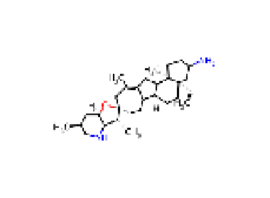 C=C[C@]12CC[C@H]3C4CC[C@@]5(CC(C)=C4CC3[C@@]1(C)CC[C@@H](N)C2)O[C@@H]1C[C@H](C)CNC1[C@H]5C